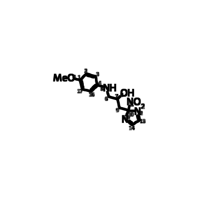 COc1ccc(NCC(O)CC2([N+](=O)[O-])N=CC=N2)cc1